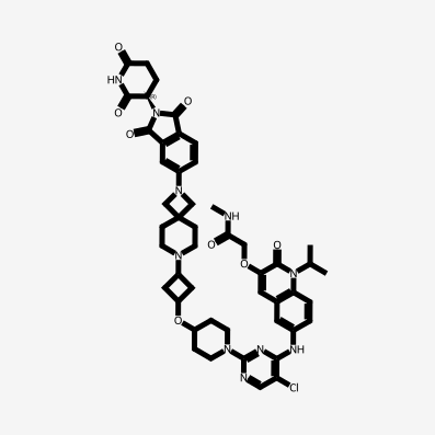 CNC(=O)COc1cc2cc(Nc3nc(N4CCC(OC5CC(N6CCC7(CC6)CN(c6ccc8c(c6)C(=O)N([C@@H]6CCC(=O)NC6=O)C8=O)C7)C5)CC4)ncc3Cl)ccc2n(C(C)C)c1=O